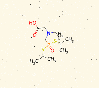 CCN(CC(=O)O)CP(=O)(SC(C)C)SC(C)C